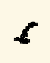 CCC[CH2][Sn]([CH2]CCC)([CH2]CCC)[c]1ccc2c(c1)nc1cc(N3CC(O[Si](C)(C)C(C)(C)C)C3)ccn12